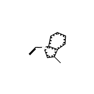 C=Cn1cc(C)c2ccccc21